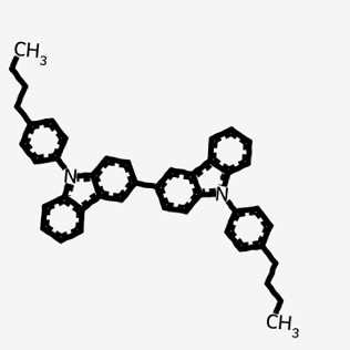 CCCCc1ccc(-n2c3ccccc3c3cc(-c4ccc5c(c4)c4ccccc4n5-c4ccc(CCCC)cc4)ccc32)cc1